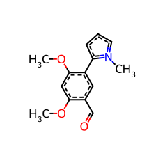 COc1cc(OC)c(-c2cccn2C)cc1C=O